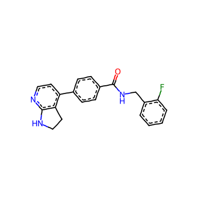 O=C(NCc1ccccc1F)c1ccc(-c2ccnc3c2CCN3)cc1